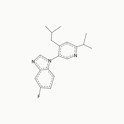 CC(C)Cc1cc(C(C)C)ncc1-n1cnc2cc(F)ccc21